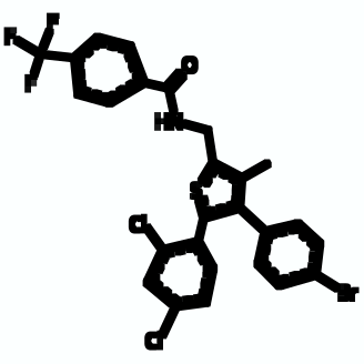 Cc1c(CNC(=O)c2ccc(C(F)(F)F)cc2)sc(-c2ccc(Cl)cc2Cl)c1-c1ccc(Br)cc1